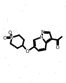 CC(=O)c1cnn2cc(OC3CCS(=O)(=O)CC3)ccc12